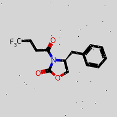 O=C(CCC(F)(F)F)N1C(=O)OC[C@@H]1Cc1ccccc1